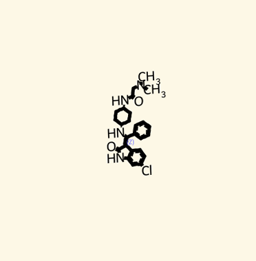 CN(C)CC(=O)N[C@H]1CC[C@H](N/C(=C2\C(=O)Nc3cc(Cl)ccc32)c2ccccc2)CC1